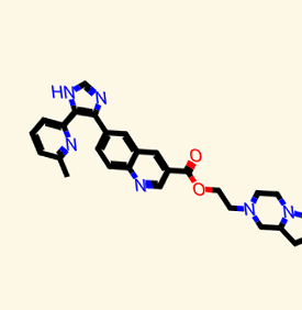 Cc1cccc(-c2[nH]cnc2-c2ccc3ncc(C(=O)OCCN4CCN5CCCC5C4)cc3c2)n1